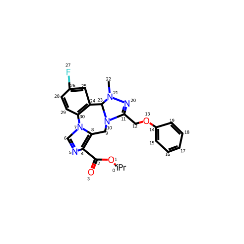 CC(C)OC(=O)c1ncn2c1CN1C(COc3ccccc3)=NN(C)C1c1cc(F)ccc1-2